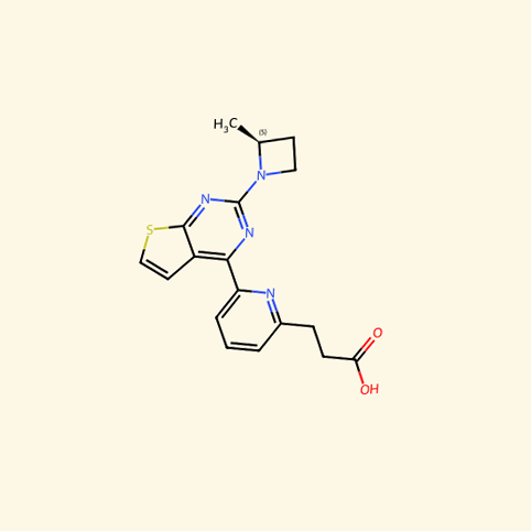 C[C@H]1CCN1c1nc(-c2cccc(CCC(=O)O)n2)c2ccsc2n1